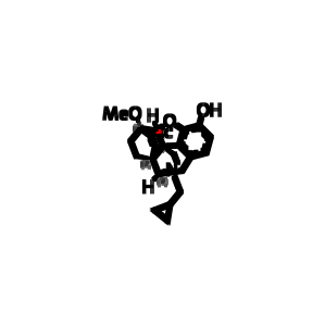 CO[C@@]12CC[C@]3(C=C1C(C)=O)[C@H]1Cc4ccc(O)c5c4[C@@]3(CCN1CC1CC1)[C@H]2O5